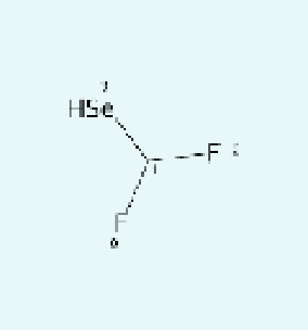 FC(F)[SeH]